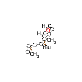 Cc1cccc2c1oc1c(C)c(-c3ccc4c(sc5c(C(C)(C)C)cc(C6CCC(c7cccc8c7sc7c(C)cccc78)CC6)cc54)c3C)ccc12